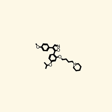 COc1ccc(-c2cnoc2-c2ccc(OC(C)C)cc2OCCCCN2CCCCC2)cc1